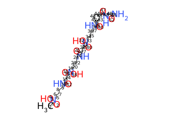 CC(=O)N(O)CCCCCNC(=O)CCC(=O)N(O)CCCCCNC(=O)CCC(=O)N(O)CCCCCNC(=O)c1cccc(C(=O)NCC(N)=O)c1